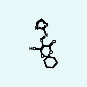 O=C1OC2(CCCCC2)OC(O)=C1N=Nc1nccs1